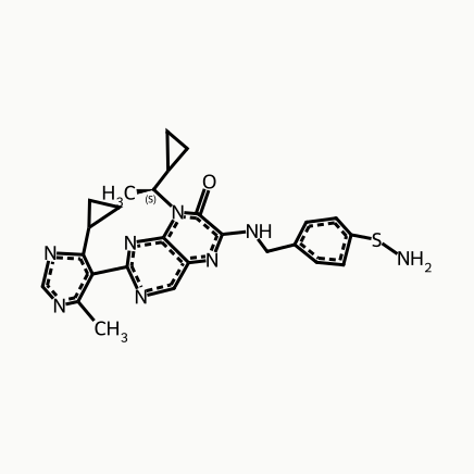 Cc1ncnc(C2CC2)c1-c1ncc2nc(NCc3ccc(SN)cc3)c(=O)n([C@@H](C)C3CC3)c2n1